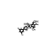 CCc1nc(OC)c(N=C(NO)N2CCN(c3cc(C)cc(C)c3)CC2)cc1CO